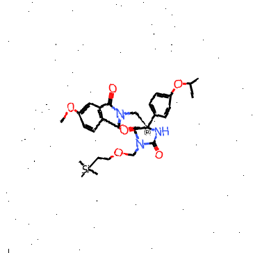 COc1ccc2c(c1)C(=O)N(C[C@@]1(c3ccc(OC(C)C)cc3)NC(=O)N(COCC[Si](C)(C)C)C1=O)C2